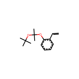 C=Cc1ccccc1OC(C)(C)OC(C)(C)C